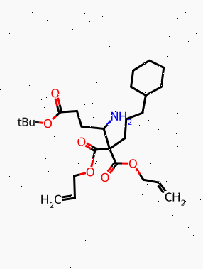 C=CCOC(=O)C(CCCC1CCCCC1)(C(=O)OCC=C)C(N)CCC(=O)OC(C)(C)C